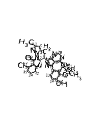 Cc1cc(C)n(-n2c(Cn3nc(-c4ccc(O)c5c4CC(C)(C)O5)c4c(N)ncnc43)nc3cccc(Cl)c3c2=O)n1